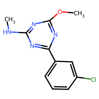 CNc1nc(OC)nc(-c2cccc(Cl)c2)n1